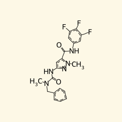 CN(Cc1ccccc1)C(=O)Nc1cc(C(=O)Nc2cc(F)c(F)c(F)c2)n(C)n1